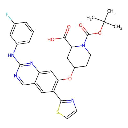 CC(C)(C)OC(=O)N1CCC(Oc2cc3nc(Nc4cccc(F)c4)ncc3cc2-c2nccs2)CC1C(=O)O